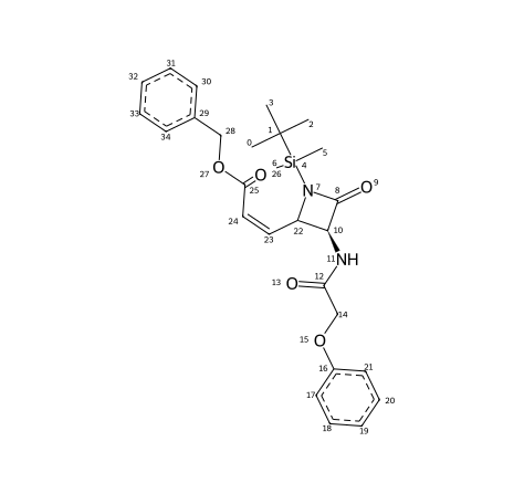 CC(C)(C)[Si](C)(C)N1C(=O)[C@@H](NC(=O)COc2ccccc2)C1/C=C\C(=O)OCc1ccccc1